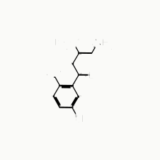 CCC(CC(CN)C(=O)O)c1cc(Cl)ccc1Cl